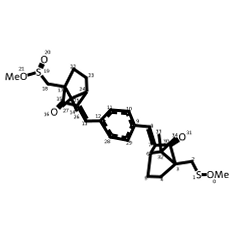 COSCC12CCC(/C(=C\c3ccc(/C=C4/C(=O)C5(CS(=O)OC)CCC4C5(C)C)cc3)C1=O)C2(C)C